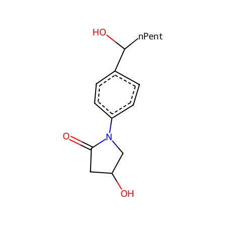 CCCCCC(O)c1ccc(N2CC(O)CC2=O)cc1